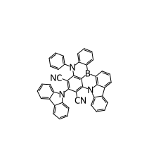 N#Cc1c2c3c(c(C#N)c1-n1c4ccccc4c4ccccc41)-n1c4ccccc4c4cccc(c41)B3c1ccccc1N2c1ccccc1